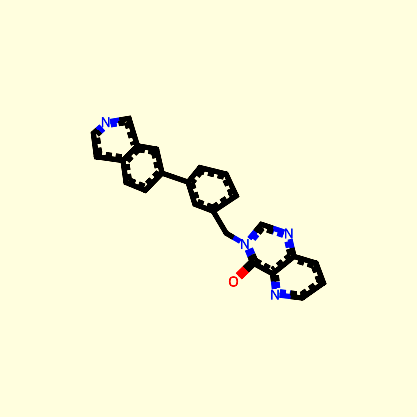 O=c1c2ncccc2ncn1Cc1cccc(-c2ccc3ccncc3c2)c1